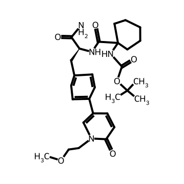 COCCn1cc(-c2ccc(C[C@H](NC(=O)C3(NC(=O)OC(C)(C)C)CCCCC3)C(N)=O)cc2)ccc1=O